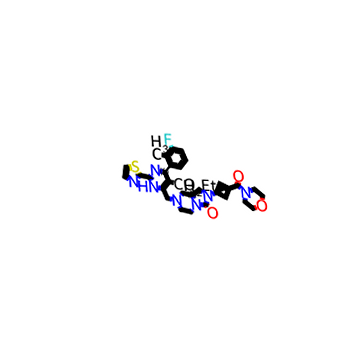 CCOC(=O)C1=C(CN2CCN3C(=O)N(C45CC(C(=O)N6CCOCC6)(C4)C5)C[C@@H]3C2)NC(c2nccs2)=N[C@H]1c1cccc(F)c1C